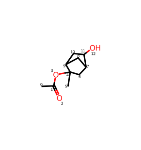 CC(=O)OC1(C)CC2CC1CC2O